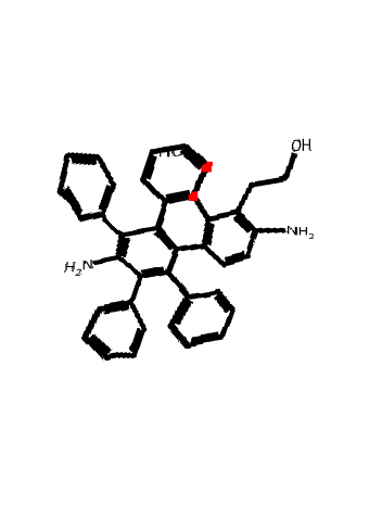 Nc1ccc(-c2c(-c3ccccc3)c(-c3ccccc3)c(N)c(-c3ccccc3)c2-c2ccccc2)c(CCO)c1CCO